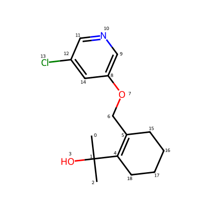 CC(C)(O)C1=C(COc2cncc(Cl)c2)CCCC1